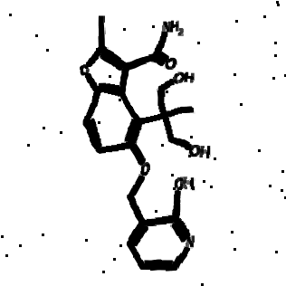 Cc1oc2ccc(OCc3cccnc3O)c(C(C)(CO)CO)c2c1C(N)=O